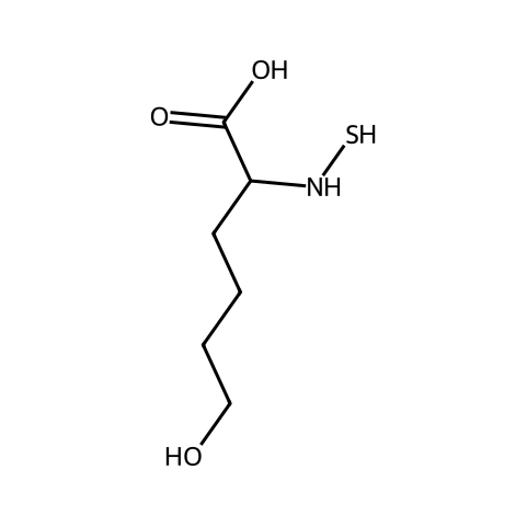 O=C(O)C(CCCCO)NS